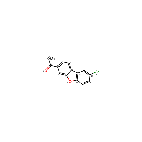 COC(=O)c1ccc2c(c1)oc1ccc(Br)cc12